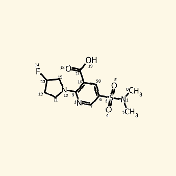 CN(C)S(=O)(=O)c1cnc(N2CCC(F)C2)c(C(=O)O)c1